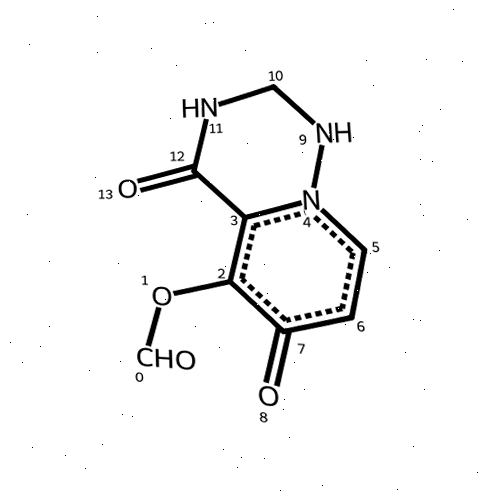 O=COc1c2n(ccc1=O)NCNC2=O